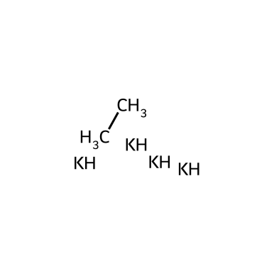 CC.[KH].[KH].[KH].[KH]